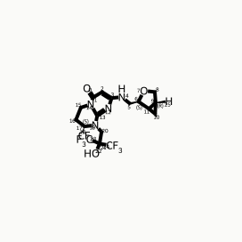 O=c1cc(NC[C@H]2OC[C@@H]3CC32)nc2n1CC[C@@H](C(F)(F)F)N2CC(O)(C(F)(F)F)C(F)(F)F